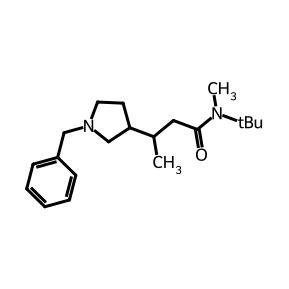 CC(CC(=O)N(C)C(C)(C)C)C1CCN(Cc2ccccc2)C1